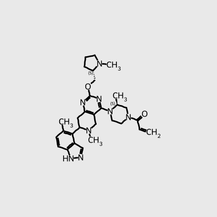 C=CC(=O)N1CCN(c2nc(OC[C@@H]3CCCN3C)nc3c2CN(C)C(c2c(C)ccc4[nH]ncc24)C3)[C@@H](C)C1